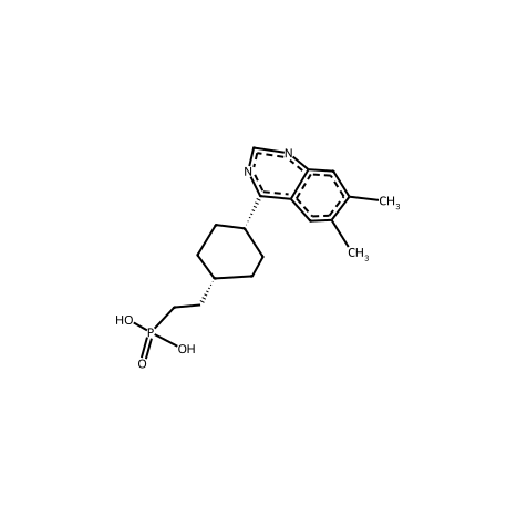 Cc1cc2ncnc([C@H]3CC[C@@H](CCP(=O)(O)O)CC3)c2cc1C